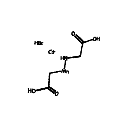 Br.O=C(O)C[NH][Mn][CH2]C(=O)O.[Co]